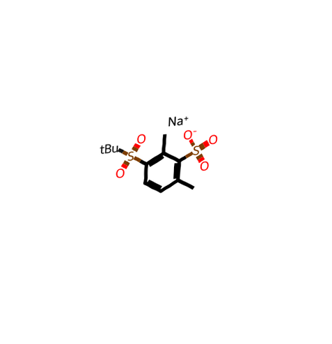 Cc1ccc(S(=O)(=O)C(C)(C)C)c(C)c1S(=O)(=O)[O-].[Na+]